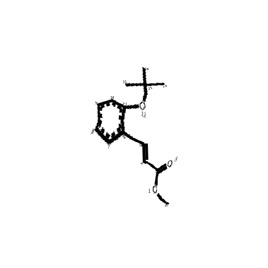 COC(=O)C=Cc1ccccc1OC(C)(C)C